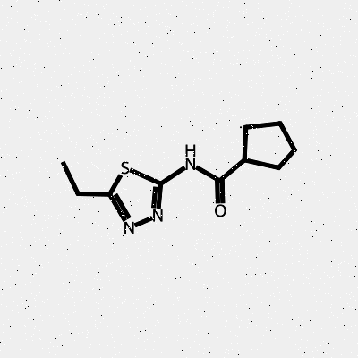 CCc1nnc(NC(=O)C2[CH]CCC2)s1